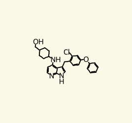 OCC1CCC(Nc2ccnc3[nH]cc(Cc4ccc(Oc5ccccc5)cc4Cl)c23)CC1